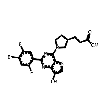 Cc1csc2c(N3CCC(CCC(=O)O)C3)nc(-c3cc(F)c(Br)cc3F)nc12